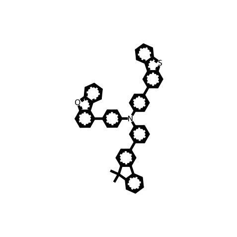 CC1(C)c2ccccc2-c2cc(-c3cccc(N(c4ccc(-c5ccc6sc7ccccc7c6c5)cc4)c4ccc(-c5cccc6oc7ccccc7c56)cc4)c3)ccc21